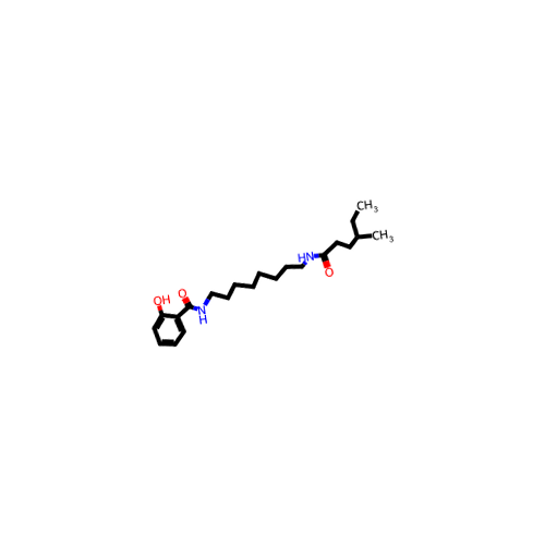 CCC(C)CCC(=O)NCCCCCCCCNC(=O)c1ccccc1O